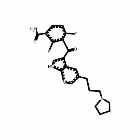 NC(=O)c1ccc(F)c(C(=O)c2c[nH]c3ncc(CCCN4CCCC4)cc23)c1F